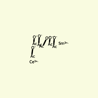 CC(=O)[O-].CC(=O)[O-].CC(=O)[O-].CC(=O)[O-].CC(=O)[O-].CC(=O)[O-].[Ce+3].[Sm+3]